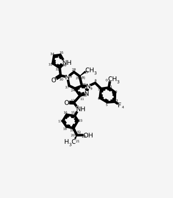 Cc1cc(F)ccc1Cn1nc(C(=O)Nc2cccc([C@H](C)O)c2)c2c1[C@H](C)CN(C(=O)c1ccc[nH]1)C2